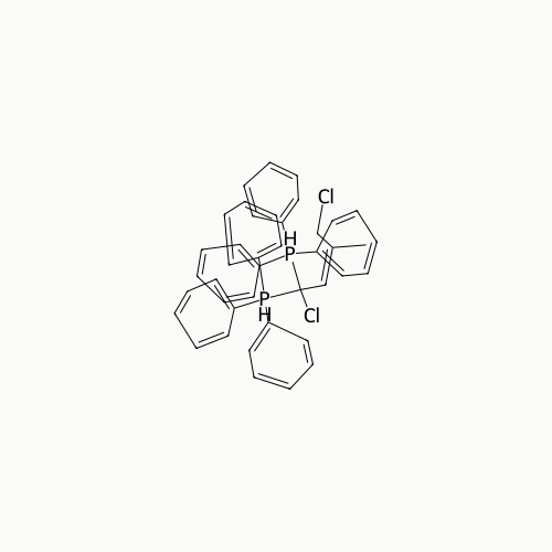 CC(=CC(Cl)([PH](c1ccccc1)(c1ccccc1)c1ccccc1)[PH](c1ccccc1)(c1ccccc1)c1ccccc1)CCl